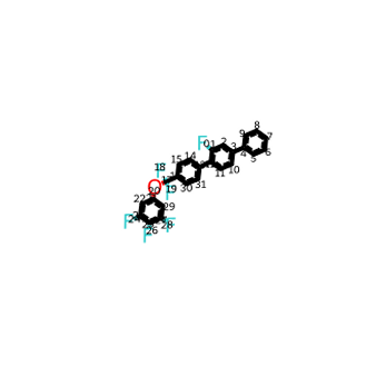 Fc1cc(-c2ccccc2)ccc1-c1ccc(C(F)(F)Oc2cc(F)c(F)c(F)c2)cc1